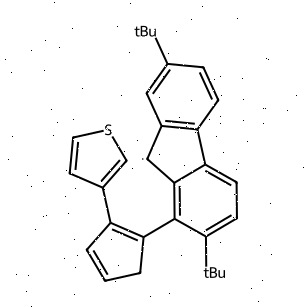 CC(C)(C)c1ccc2c(c1)[CH]c1c-2ccc(C(C)(C)C)c1C1=C(c2ccsc2)C=CC1